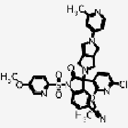 CCOc1nc(Cl)ccc1C1(N2CC3=CN(c4ccnc(C)c4)CC3C2)C(=O)N(S(=O)(=O)c2ccc(OC)cn2)c2ccc(C#N)cc21